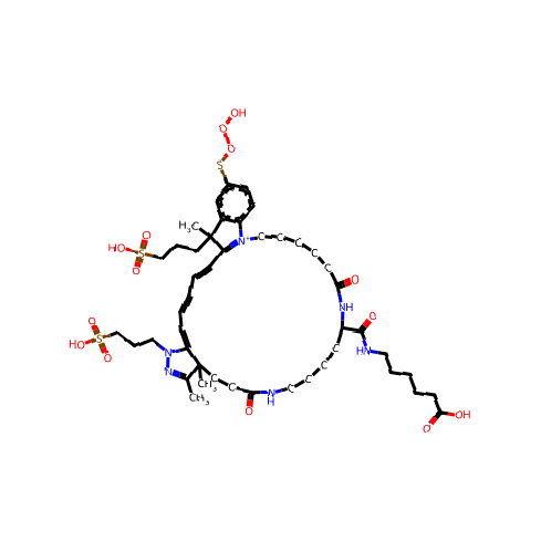 CC1=NN(CCCS(=O)(=O)O)/C2=C/C=C/C=C/C3=[N+](CCCCCC(=O)NC(C(=O)NCCCCCC(=O)O)CCCCNC(=O)CCC12C)c1ccc(SOOO)cc1C3(C)CCCS(=O)(=O)O